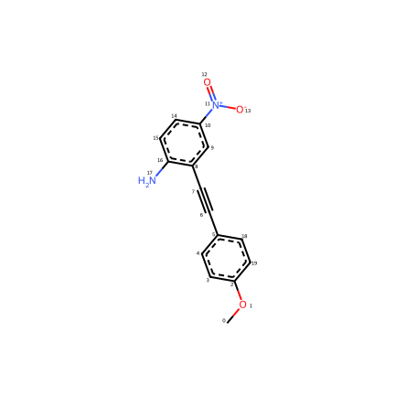 COc1ccc(C#Cc2cc([N+](=O)[O-])ccc2N)cc1